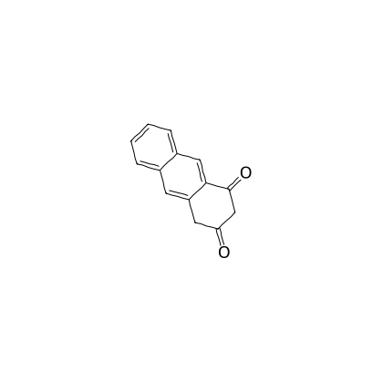 O=C1CC(=O)c2cc3ccccc3cc2C1